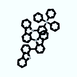 c1ccc([Si](c2ccccc2)(c2ccccc2)c2cccc(-n3c4ccccc4c4cccc(-n5c6ccccc6c6cccc(-c7cccc8c7sc7ccccc78)c65)c43)c2)cc1